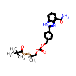 C[C@H](COC(=O)OCc1ccc(-c2nc3c(C(N)=O)cccc3[nH]2)cc1)SSC(=O)C(C)(C)C